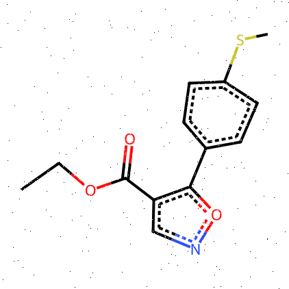 CCOC(=O)c1cnoc1-c1ccc(SC)cc1